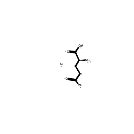 N[C@@H](CCC(=O)O)C(=O)O.[Al]